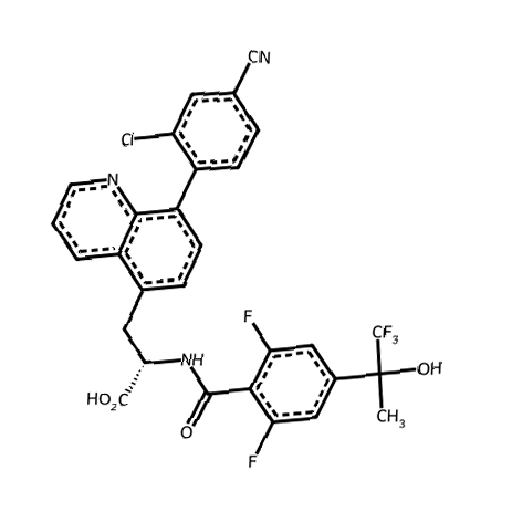 CC(O)(c1cc(F)c(C(=O)N[C@@H](Cc2ccc(-c3ccc(C#N)cc3Cl)c3ncccc23)C(=O)O)c(F)c1)C(F)(F)F